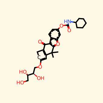 CC1(C)C2=C(CCC(OC[C@@H](O)C(O)CO)=C2)C(=O)c2c1oc1cc(OC(=O)NC3CCCCC3)ccc21